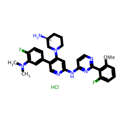 COc1cccc(F)c1-c1nccc(Nc2cc(N3CCC[C@H](N)C3)c(-c3ccc(F)c(N(C)C)c3)cn2)n1.Cl